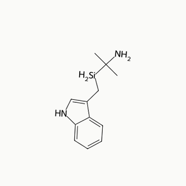 CC(C)(N)[SiH2]Cc1c[nH]c2ccccc12